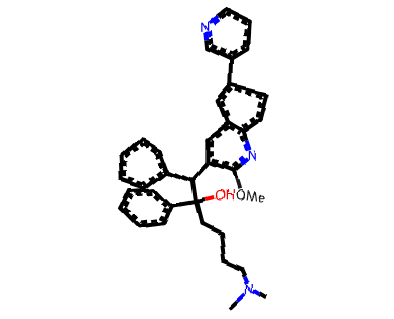 COc1nc2ccc(-c3cccnc3)cc2cc1C(c1ccccc1)C(O)(CCCCN(C)C)c1ccccc1